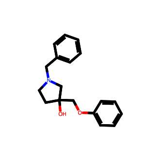 OC1(COc2ccccc2)CCN(Cc2ccccc2)C1